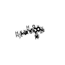 CC(C)n1ccc(NC(=O)Cn2nc(N3CC(F)(F)C3)c3cc(C(F)(F)F)ccc3c2=O)n1